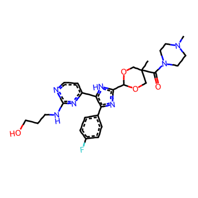 CN1CCN(C(=O)C2(C)COC(c3nc(-c4ccc(F)cc4)c(-c4ccnc(NCCCO)n4)[nH]3)OC2)CC1